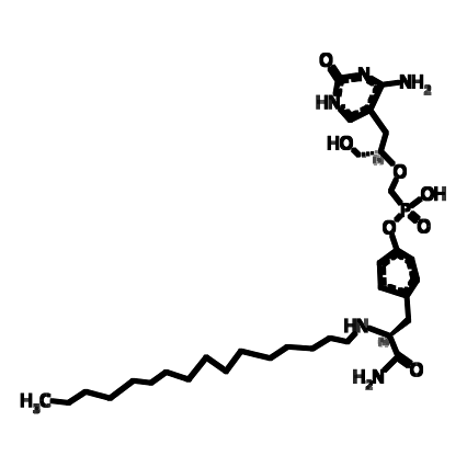 CCCCCCCCCCCCCCCCN[C@@H](Cc1ccc(OP(=O)(O)CO[C@H](CO)Cc2c[nH]c(=O)nc2N)cc1)C(N)=O